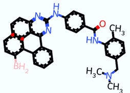 Bc1ccccc1-c1ccccc1-c1nc(Nc2ccc(C(=O)Nc3cc(CN(C)C)ccc3C)cc2)nc2ccccc12